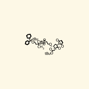 CC(C)(CCO[Si](c1ccccc1)(c1ccccc1)C(C)(C)C)COS(=O)(=O)CCOC[C@@H]1C[C@@H](N2C(=O)C=CC2=O)C(=O)N1CC(=O)OC(C)(C)C